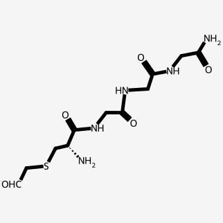 NC(=O)CNC(=O)CNC(=O)CNC(=O)[C@H](N)CSCC=O